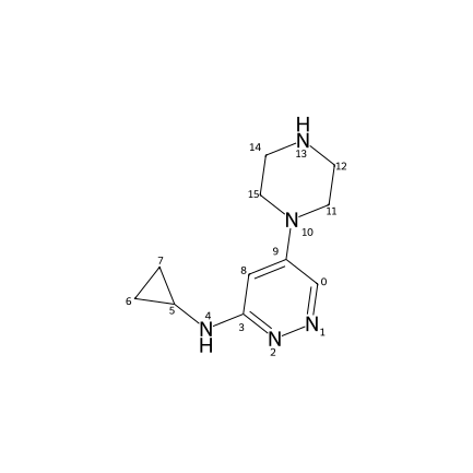 c1nnc(NC2CC2)cc1N1CCNCC1